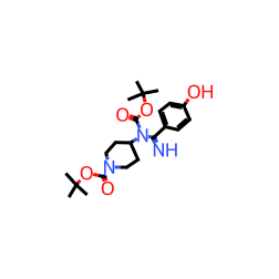 CC(C)(C)OC(=O)N1CCC(N(C(=N)c2ccc(O)cc2)C(=O)OC(C)(C)C)CC1